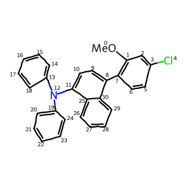 COc1cc(Cl)ccc1-c1ccc(N(c2ccccc2)c2ccccc2)c2ccccc12